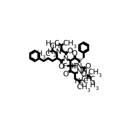 CC(C)CC(N)C(=O)C(F)(F)C(C(=O)[C@H](Cc1ccccc1)NC(=O)OC(C)(C)C)N(C(=O)C(CCCc1ccccc1)CC(C)C)C(=O)[C@@H](N)C(C)C